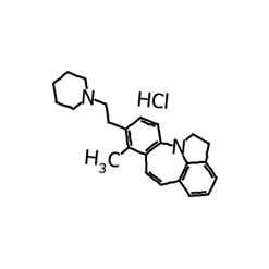 Cc1c(CCN2CCCCC2)ccc2c1C=Cc1cccc3c1N2CC3.Cl